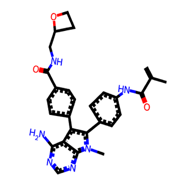 C=C(C)C(=O)Nc1ccc(-c2c(-c3ccc(C(=O)NCC4CCO4)cc3)c3c(N)ncnc3n2C)cc1